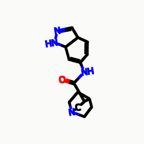 O=C(NC1=CC2NN=CC2C=C1)C1CN2CCC1CC2